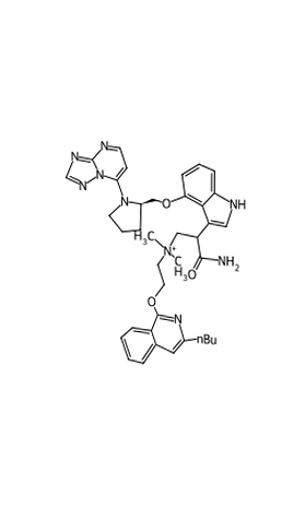 CCCCc1cc2ccccc2c(OCC[N+](C)(C)CC(C(N)=O)c2c[nH]c3cccc(OC[C@H]4CCCN4c4ccnc5ncnn45)c23)n1